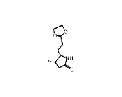 C[C@H]1CC(=O)N[C@@H]1CCC1OCCO1